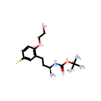 C[C@@H](CCc1cc(F)ccc1OCCO)NC(=O)OC(C)(C)C